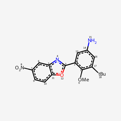 COc1c(-c2nc3cc([N+](=O)[O-])ccc3o2)cc(N)cc1C(C)(C)C